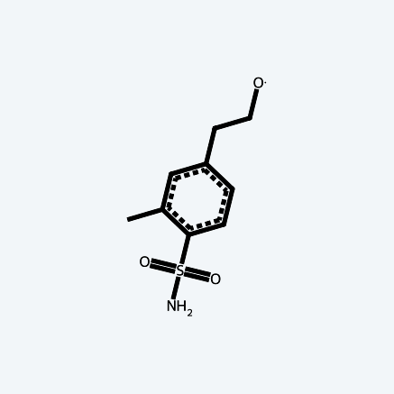 Cc1cc(CC[O])ccc1S(N)(=O)=O